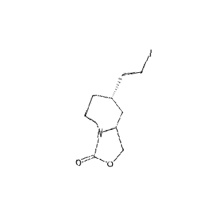 O=C1OCC2C[C@@H](CCI)CCN12